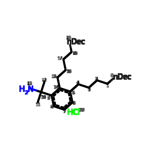 CCCCCCCCCCCCCCc1cccc(C(C)(C)N)c1CCCCCCCCCCCCCC.Cl